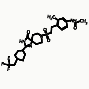 CC(=O)Nc1ccc(CCS(=O)(=O)N2CCC3(CC2)N=C(C2CCC(CC(F)(F)F)CC2)NC3=O)c(C)c1